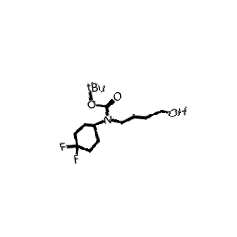 CC(C)(C)OC(=O)N(CCCCO)C1CCC(F)(F)CC1